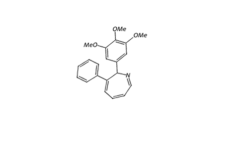 COc1cc(C2N=CC=CC=C2c2ccccc2)cc(OC)c1OC